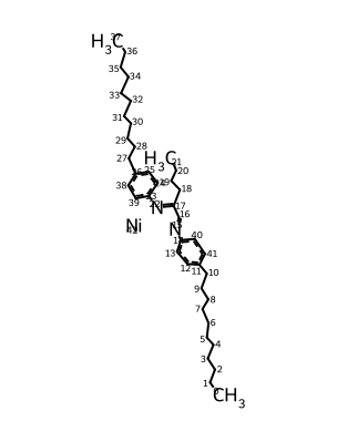 CCCCCCCCCCCc1ccc(N=CC(CCCC)=Nc2ccc(CCCCCCCCCCC)cc2)cc1.[Ni]